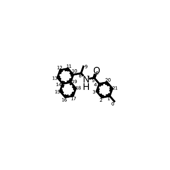 Cc1ccc(C(=O)NC(C)c2cccc3ccccc23)cc1